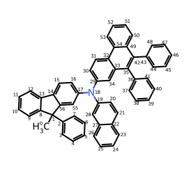 CC1(c2ccccc2)c2ccccc2-c2ccc(N(c3ccc4ccccc4c3)c3ccc4c(c3)c(-c3ccccc3)c(-c3ccccc3)c3ccccc34)cc21